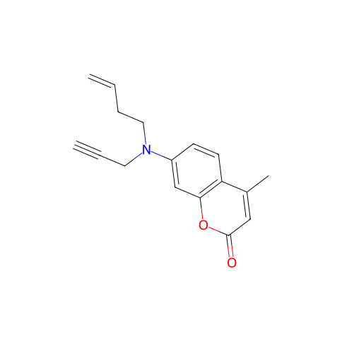 C#CCN(CCC=C)c1ccc2c(C)cc(=O)oc2c1